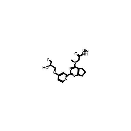 CN(CC(=O)NC(C)(C)C)c1nc(-c2cc(OCC(O)CF)ccn2)nc2c1CCC2